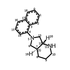 c1ccc2c(N3C[C@@H]4CCCN[C@H]4C3)cccc2c1